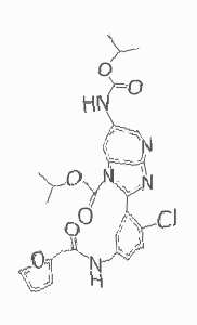 CC(C)OC(=O)Nc1cnc2nc(-c3cc(NC(=O)c4ccco4)ccc3Cl)n(C(=O)OC(C)C)c2c1